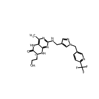 Cc1nc(NCc2cnn(Cc3ccc(C(F)(F)F)nc3)c2)nc2c1NC(=O)[C@H](CCO)N2